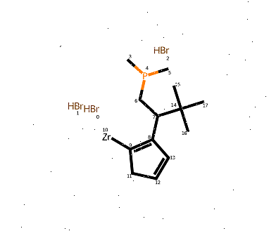 Br.Br.Br.CP(C)CC(C1=[C]([Zr])CC=C1)C(C)(C)C